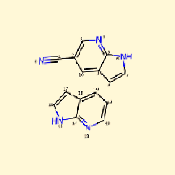 N#Cc1cnc2[nH]ccc2c1.c1cnc2[nH]ccc2c1